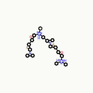 C1=CCCC(C2=NC(c3ccc4oc5cc(-c6ccc7sc8cc(-n9c%10ccccc%10c%10ccccc%109)ccc8c7c6)ccc5c4c3)NC(c3ccc(-c4ccc5c(c4)c4ccccc4n5-c4cccc5c4sc4ccc(-c6ccc7c(c6)oc6ccc(C8NC(c9ccccc9)=NC(c9ccccc9)N8)cc67)cc45)cc3)=N2)=C1